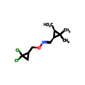 CC1(C)[C@H](C(=O)O)[C@@H]1C=NOCC1CC1(Cl)Cl